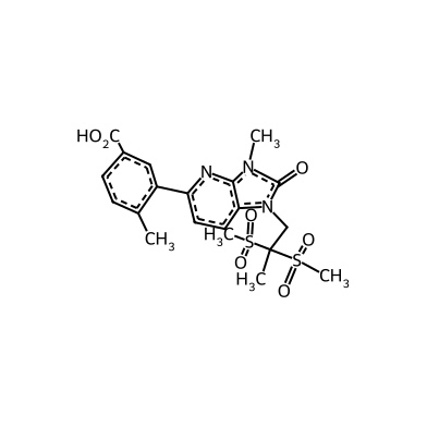 Cc1ccc(C(=O)O)cc1-c1ccc2c(n1)n(C)c(=O)n2CC(C)(S(C)(=O)=O)S(C)(=O)=O